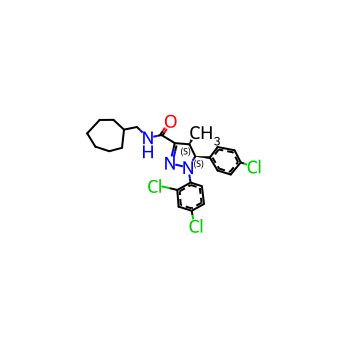 C[C@@H]1C(C(=O)NCC2CCCCCC2)=NN(c2ccc(Cl)cc2Cl)[C@@H]1c1ccc(Cl)cc1